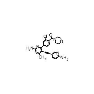 Cc1nc(N)nc(-c2ccc(C(=O)N3CCOCC3)c(Cl)c2)c1C#Cc1ccc(N)nc1